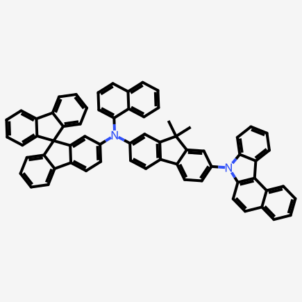 CC1(C)c2cc(N(c3ccc4c(c3)C3(c5ccccc5-c5ccccc53)c3ccccc3-4)c3cccc4ccccc34)ccc2-c2ccc(-n3c4ccccc4c4c5ccccc5ccc43)cc21